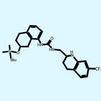 CC(C)(C)[Si](C)(C)OC1CCc2cccc(NC(=O)NCC3CCc4ccc(C(F)(F)F)cc4N3)c2C1